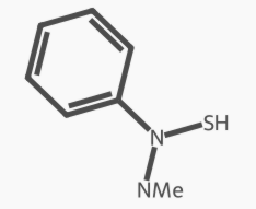 CNN(S)c1ccccc1